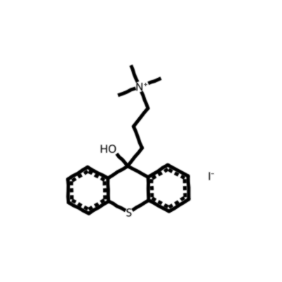 C[N+](C)(C)CCCC1(O)c2ccccc2Sc2ccccc21.[I-]